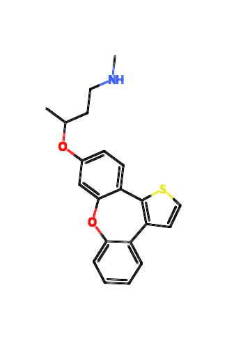 CNCCC(C)Oc1ccc2c(c1)Oc1ccccc1-c1ccsc1-2